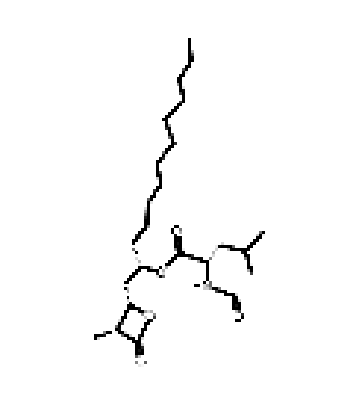 CCCCCCCCCCC[C@@H](C[C@@H]1OC(=O)[C@H]1C)OC(=O)[C@H](CC(C)C)NC=O